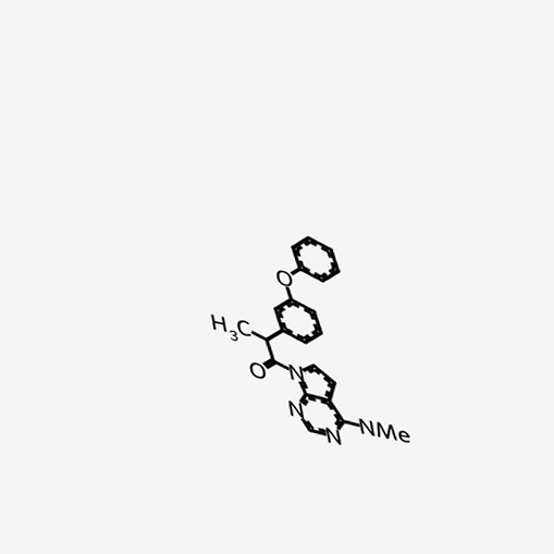 CNc1ncnc2c1ccn2C(=O)C(C)c1cccc(Oc2ccccc2)c1